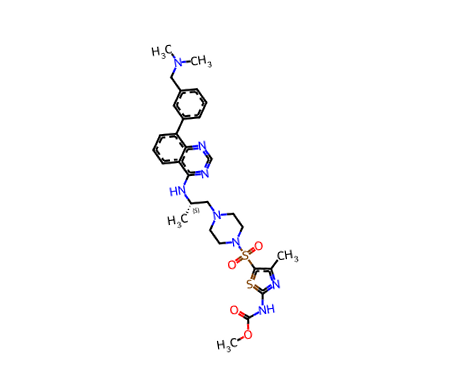 COC(=O)Nc1nc(C)c(S(=O)(=O)N2CCN(C[C@H](C)Nc3ncnc4c(-c5cccc(CN(C)C)c5)cccc34)CC2)s1